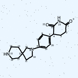 O=C1CCC(c2ccc(N3CCC4(CCNCC4)C3)cc2)C(=O)N1